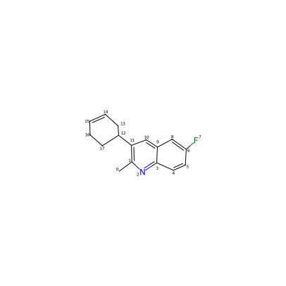 Cc1nc2ccc(F)cc2cc1C1CC=CCC1